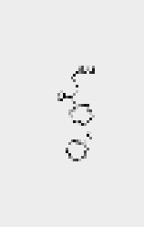 CCC(C)CCC(O)c1ccc(Sc2ccccc2)cc1